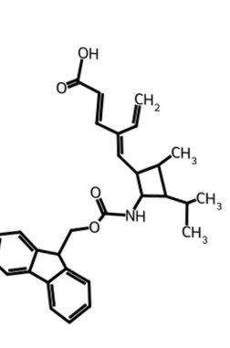 C=CC(/C=C/C(=O)O)=C\C1C(C)C(C(C)C)C1NC(=O)OCC1c2ccccc2-c2ccccc21